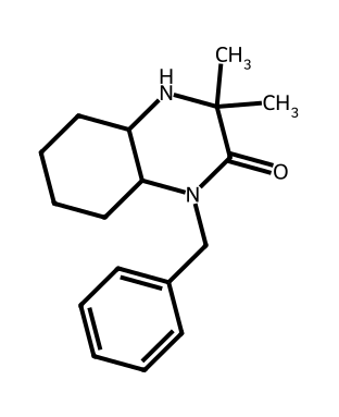 CC1(C)NC2CCCCC2N(Cc2ccccc2)C1=O